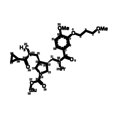 COCCCOc1cc(C(=O)N(C[C@@H]2CN(C(=O)OC(C)(C)C)C[C@H]2CN(C)C(=O)C2CC2)C(C)C)ccc1OC